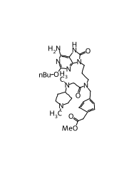 CCCCOc1nc(N)c2[nH]c(=O)n(CCCN(Cc3ccc(CC(=O)OC)cc3)C(=O)CN(C)C3CCN(C)CC3)c2n1